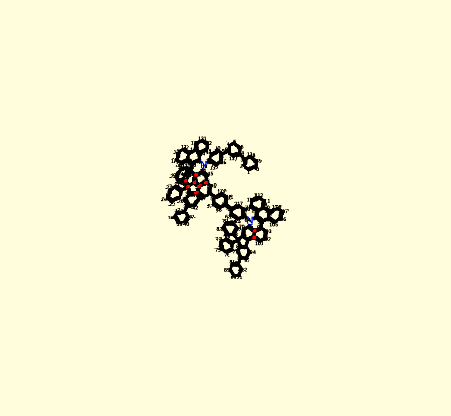 c1ccc(-c2cccc(-c3ccc(N(c4ccc5c(c4)C(c4ccccc4)(c4ccccc4)c4cc(-c6ccccc6)ccc4-5)c4c(-c5cccc(-c6ccc(-c7ccc(-c8ccc(N(c9ccc%10c(c9)C(c9ccccc9)(c9ccccc9)c9cc(-c%11ccccc%11)ccc9-%10)c9c(-c%10ccccc%10)c%10ccccc%10c%10ccccc9%10)cc8)cc7)cc6)c5)c5ccccc5c5ccccc45)cc3)c2)cc1